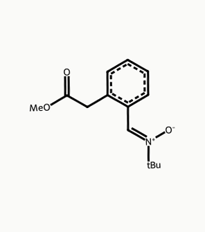 COC(=O)Cc1ccccc1C=[N+]([O-])C(C)(C)C